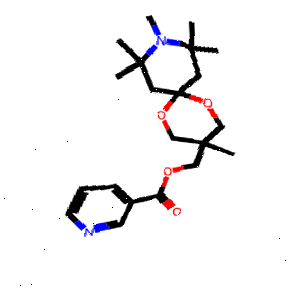 CN1C(C)(C)CC2(CC1(C)C)OCC(C)(COC(=O)c1cccnc1)CO2